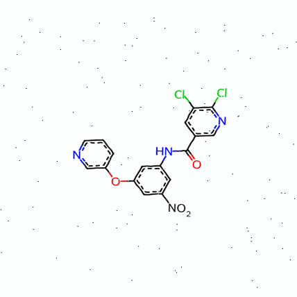 O=C(Nc1cc(Oc2cccnc2)cc([N+](=O)[O-])c1)c1cnc(Cl)c(Cl)c1